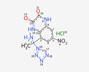 CC(N)(c1cc([N+](=O)[O-])cc2[nH]c(=O)c(=O)[nH]c12)n1cnnn1.Cl